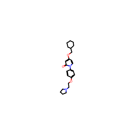 O=c1cc(OCC2CCCCC2)ccn1-c1ccc(OCCN2CCCC2)cc1